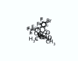 CC(=O)NC(=O)[C@]1(C(C)=O)Cc2cc(Br)c(F)c(F)c2N2C[C@@H](C(F)(F)F)OC(C(C)C)[C@@H]21